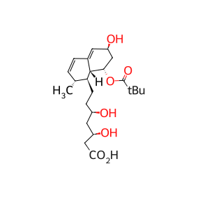 C[C@@H]1C=CC2=C[C@@H](O)C[C@H](OC(=O)C(C)(C)C)[C@@H]2[C@H]1CC[C@@H](O)C[C@@H](O)CC(=O)O